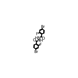 O=C(NNC(=O)c1ccc(Br)cc1F)c1ccc(Br)cc1F